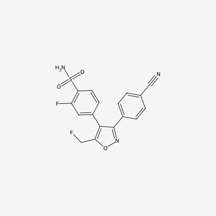 N#Cc1ccc(-c2noc(CF)c2-c2ccc(S(N)(=O)=O)c(F)c2)cc1